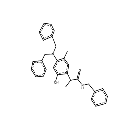 Cc1cc(C(C)C(=O)NCc2ccccc2)c(O)cc1N(Cc1ccccc1)Cc1ccccc1